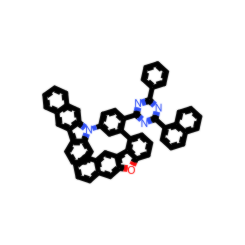 c1ccc(-c2nc(-c3ccc(-n4c5ccccc5c5cc6ccccc6cc54)cc3-c3cccc4oc5cc6ccccc6cc5c34)nc(-c3cccc4ccccc34)n2)cc1